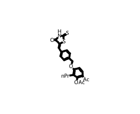 CCCc1c(OCc2ccc(/C=C3\SC(=S)NC3=O)cc2)ccc(C(C)=O)c1OC(C)=O